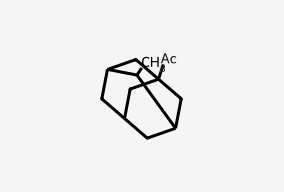 CC(=O)C12CC3CC(C1)C(C)C(C3)C2